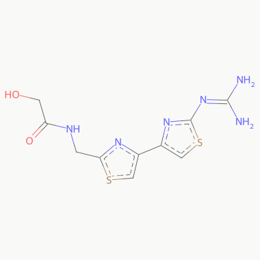 NC(N)=Nc1nc(-c2csc(CNC(=O)CO)n2)cs1